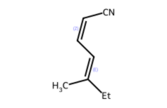 CC/C(C)=C/C=C\C#N